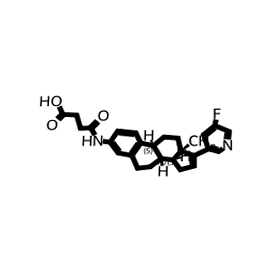 C[C@]12CC[C@@H]3c4ccc(NC(=O)CCC(=O)O)cc4CC[C@H]3[C@@H]1CC=C2c1cncc(F)c1